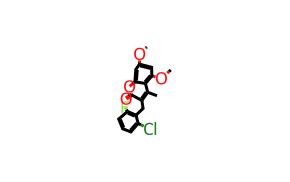 COc1cc(OC)c2c(C)c(Cc3c(F)cccc3Cl)c(=O)oc2c1